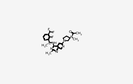 CC(=O)N(C)C1CCN(c2cc3c(N[C@H](C)c4cccc(C(F)F)c4F)nc(C)nc3cn2)C1